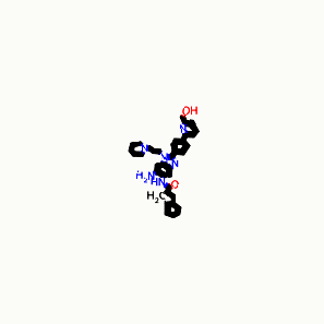 C=C(Cc1ccccc1)C(=O)Nc1cc2nc(-c3ccc(-c4cccc(CO)n4)cc3)n(CCCN3CCCCC3)c2cc1N